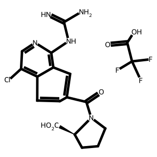 N=C(N)Nc1ncc(Cl)c2ccc(C(=O)N3CCC[C@H]3C(=O)O)cc12.O=C(O)C(F)(F)F